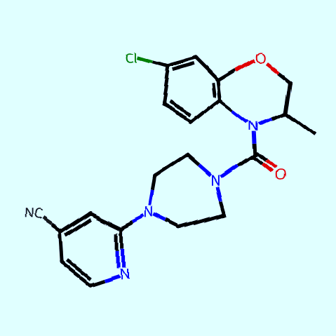 CC1COc2cc(Cl)ccc2N1C(=O)N1CCN(c2cc(C#N)ccn2)CC1